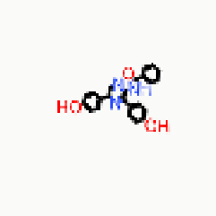 O=C(Nc1ncc(-c2ccc(O)cc2)nc1-c1ccc(O)cc1)c1ccccc1